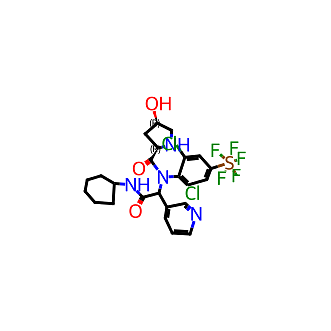 O=C(NC1CCCCC1)C(c1cccnc1)N(C(=O)[C@H]1C[C@@H](O)CN1)c1c(Cl)cc(S(F)(F)(F)(F)F)cc1Cl